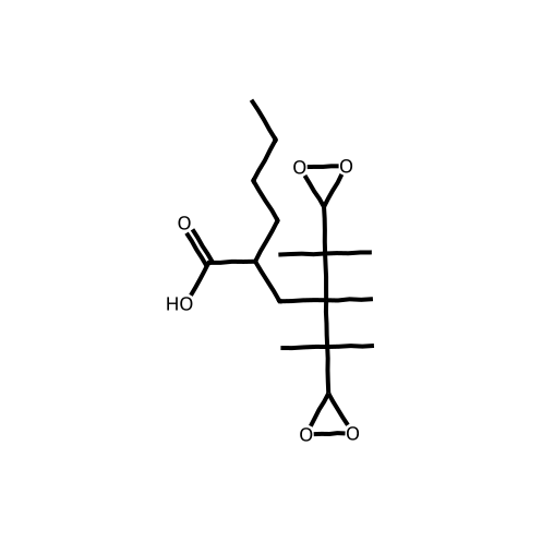 CCCCC(CC(C)(C(C)(C)C1OO1)C(C)(C)C1OO1)C(=O)O